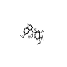 C=C[C@@H]1CN2CC[C@H]1C[C@H]2[C@@H](O)c1ccnc2ccc(OC)cc12